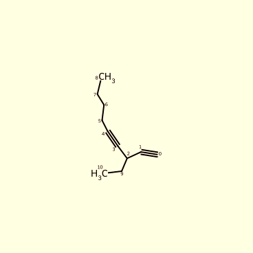 [C]#CC(C#CCCCC)CC